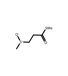 CSC(=O)CC[S+](C)[O-]